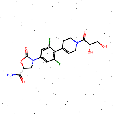 NC(=O)[C@H]1CN(c2cc(F)c(C3=CCN(C(=O)[C@@H](O)CO)CC3)c(F)c2)C(=O)O1